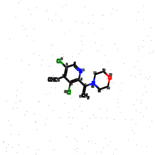 C=C(c1ncc(Cl)c(C=O)c1Cl)N1CCOCC1